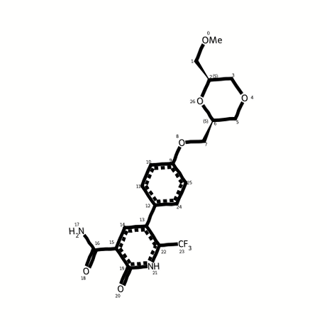 COC[C@H]1COC[C@@H](COc2ccc(-c3cc(C(N)=O)c(=O)[nH]c3C(F)(F)F)cc2)O1